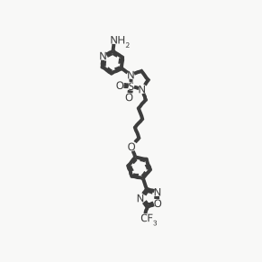 Nc1cc(N2CCN(CCCCCOc3ccc(-c4noc(C(F)(F)F)n4)cc3)S2(=O)=O)ccn1